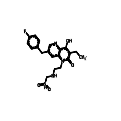 [CH2]Cc1c(O)c2ncc(Cc3ccc(F)cc3)cc2n(CCNC[SH](=O)=O)c1=O